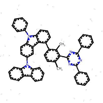 Cc1ccc(-c2cccc3c2c2cc(-n4c5ccccc5c5ccccc54)ccc2n3-c2ccccc2)c(C)c1-c1nc(-c2ccccc2)nc(-c2ccccc2)n1